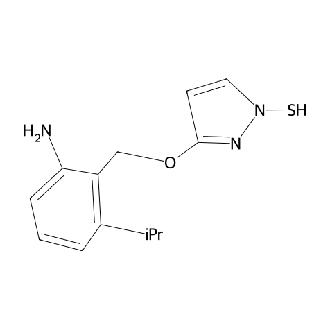 CC(C)c1cccc(N)c1COc1ccn(S)n1